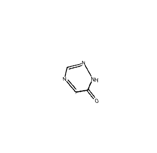 O=c1[c]ncn[nH]1